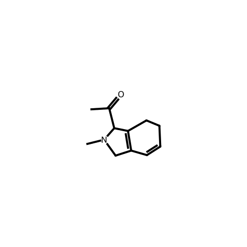 CC(=O)C1C2=C(C=CCC2)CN1C